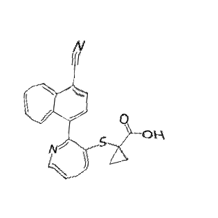 N#Cc1ccc(-c2ncccc2SC2(C(=O)O)CC2)c2ccccc12